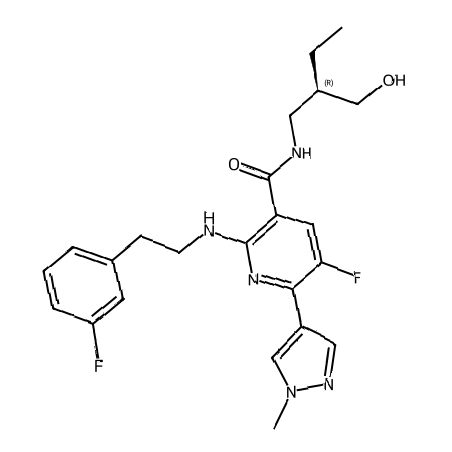 CC[C@@H](CO)CNC(=O)c1cc(F)c(-c2cnn(C)c2)nc1NCCc1cccc(F)c1